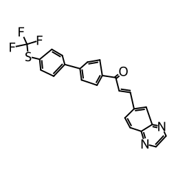 O=C(/C=C/c1ccc2nccnc2c1)c1ccc(-c2ccc(SC(F)(F)F)cc2)cc1